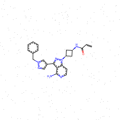 C=CC(=O)N[C@H]1C[C@@H](n2nc(-c3cnn(Cc4ccccc4)c3)c3c(N)nccc32)C1